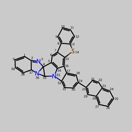 C1=CC2=NC34c5cc6c7ccccc7sc6c6c7cc(-c8ccc9ccccc9c8)ccc7n(c56)C3N4C2C=C1